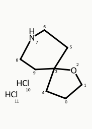 C1COC2(C1)CCNCC2.Cl.Cl